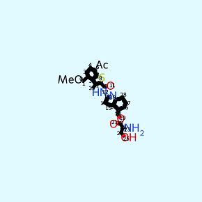 COCc1ccc(C(C)=O)c2sc(C(=O)Nc3ccc4c(COC(=O)C(N)CO)cccc4n3)c(C)c12